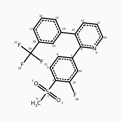 CS(=O)(=O)c1ccc(-c2ncccc2-c2cccc(C(F)(F)F)c2)cc1F